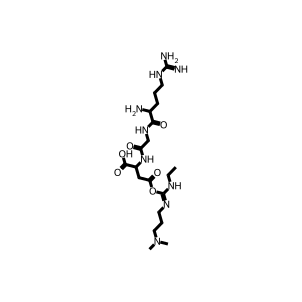 CCN/C(=N/CCCN(C)C)OC(=O)CC(NC(=O)CNC(=O)C(N)CCCNC(=N)N)C(=O)O